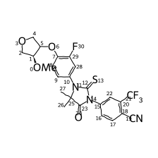 CO[C@H]1COCC1Oc1ccc(N2C(=S)N(c3ccc(C#N)c(C(F)(F)F)c3)C(=O)C2(C)C)cc1F